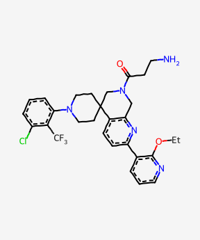 CCOc1ncccc1-c1ccc2c(n1)CN(C(=O)CCN)CC21CCN(c2cccc(Cl)c2C(F)(F)F)CC1